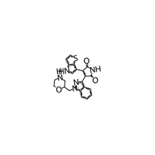 O=C1NC(=O)C(c2c[nH]c3ccsc23)=C1c1nn(CC2CNCCO2)c2ccccc12